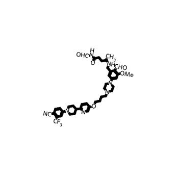 COc1cc(N2CCN(CCCCOc3ccc(C4CCN(c5ccc(C#N)c(C(F)(F)F)c5)CC4)nc3)CC2)cc(CNC(C)CCC(=O)NC=O)c1C=O